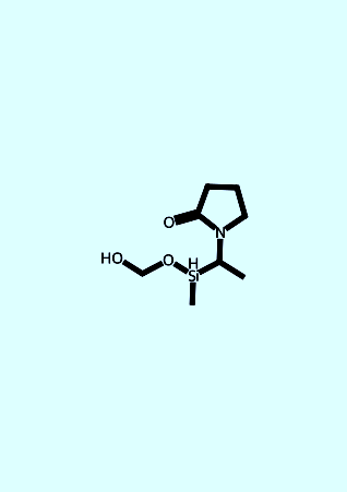 CC(N1CCCC1=O)[SiH](C)OCO